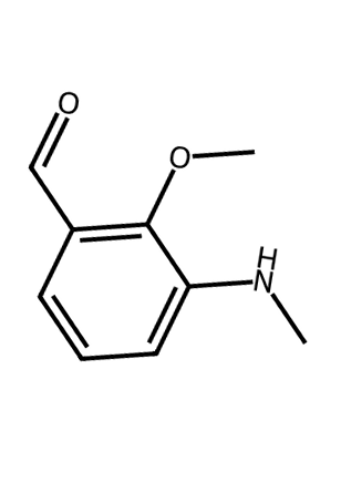 CNc1cccc(C=O)c1OC